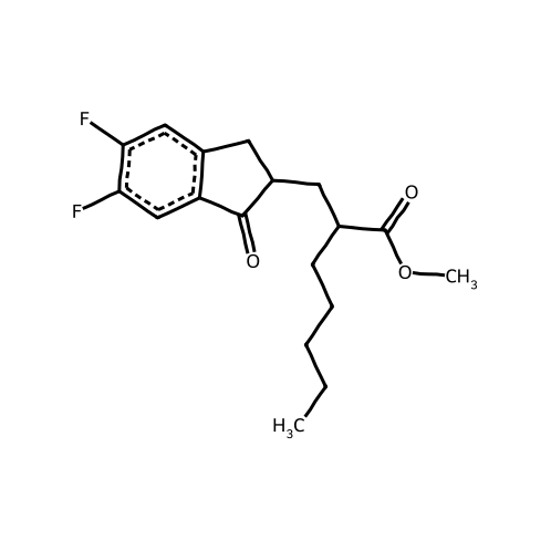 CCCCCC(CC1Cc2cc(F)c(F)cc2C1=O)C(=O)OC